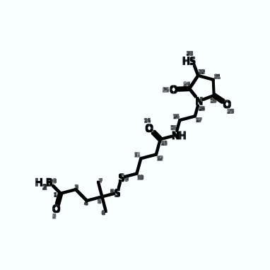 BC(=O)CCC(C)(C)SSCCCC(=O)NCCN1C(=O)CC(S)C1=O